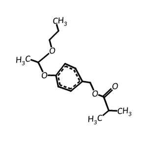 CCCOC(C)Oc1ccc(COC(=O)C(C)C)cc1